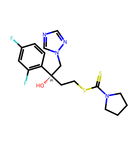 O[C@@](CCSC(=S)N1CCCC1)(Cn1cncn1)c1ccc(F)cc1F